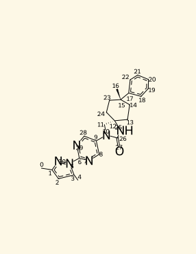 Cc1cc(C)n(-c2ncc(N3C[C@]4(CC[C@@](C)(c5ccccc5)CC4)NC3=O)cn2)n1